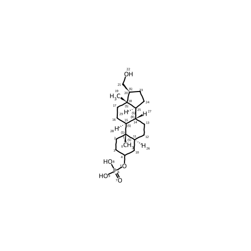 C[C@]12CCC(OP(=O)(O)O)C[C@@H]1CC[C@@H]1[C@@H]2CC[C@]2(C)[C@@H](CO)CC[C@@H]12